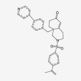 C=C(C)c1ccc(S(=O)(=O)N2CCC3=CC(=O)CCC3(Cc3ccc(-c4ccncc4)cc3)C2)cc1